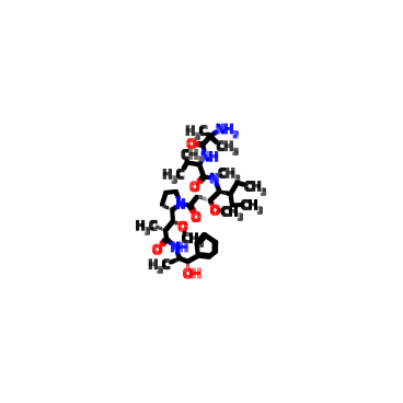 CCC(CC)[C@@H]([C@@H](CC(=O)N1CCC[C@H]1[C@H](OC)[C@@H](C)C(=O)N[C@H](C)[C@@H](O)c1ccccc1)OC)N(C)C(=O)[C@@H](NC(=O)C(C)(C)N)C(C)C